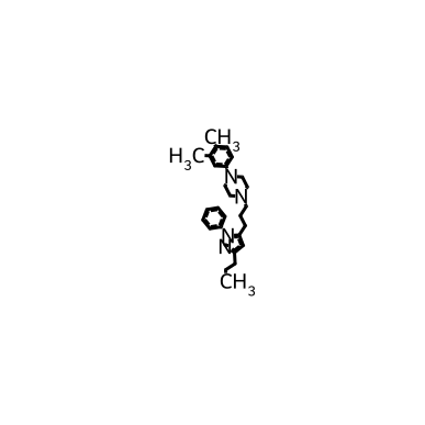 CCCc1cc(CCCN2CCN(c3ccc(C)c(C)c3)CC2)n(-c2ccccc2)n1